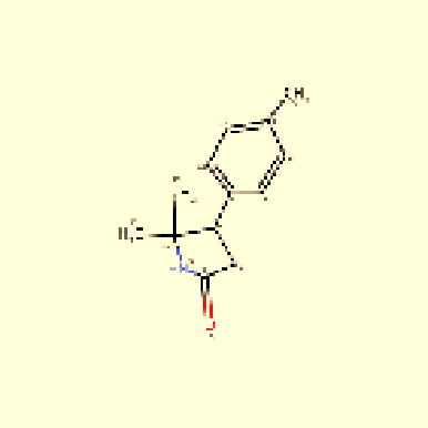 Cc1ccc(C2CC(=O)NC2(C)C)cc1